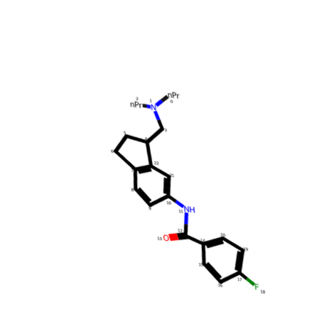 CCCN(CCC)CC1CCc2ccc(NC(=O)c3ccc(F)cc3)cc21